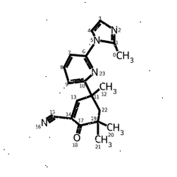 Cc1nccn1-c1cccc(C2(C)C=C(C#N)C(=O)C(C)(C)C2)n1